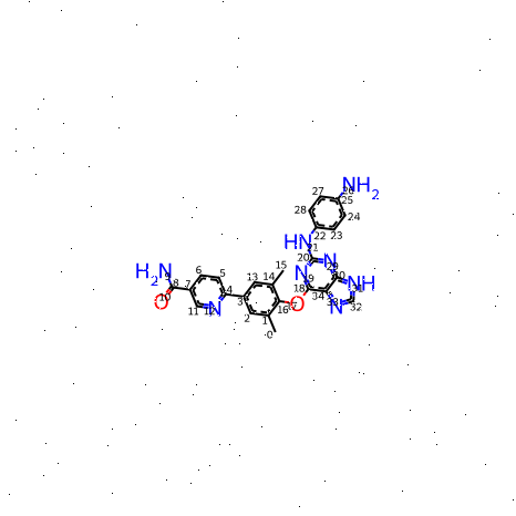 Cc1cc(-c2ccc(C(N)=O)cn2)cc(C)c1Oc1nc(Nc2ccc(N)cc2)nc2[nH]cnc12